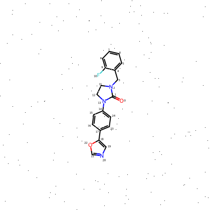 O=C1N(Cc2ccccc2F)CCN1c1ccc(-c2cnco2)cc1